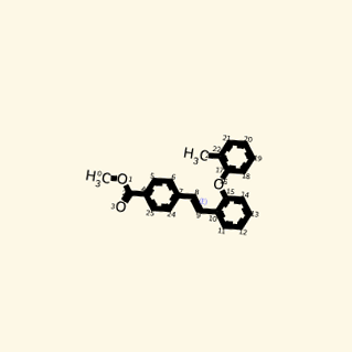 COC(=O)c1ccc(/C=C/c2ccccc2Oc2ccccc2C)cc1